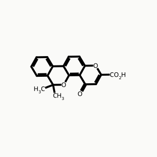 CC1(C)Oc2c(ccc3oc(C(=O)O)cc(=O)c23)-c2ccccc21